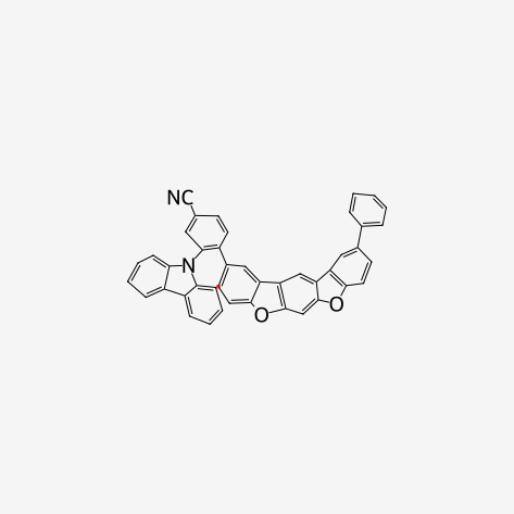 N#Cc1ccc(-c2ccc3oc4cc5oc6ccc(-c7ccccc7)cc6c5cc4c3c2)c(-n2c3ccccc3c3ccccc32)c1